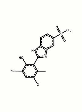 Cc1c(Cl)cc(C(C)(C)C)c(O)c1-c1nc2cc(S(=O)(=O)C(F)(F)F)ccc2[nH]1